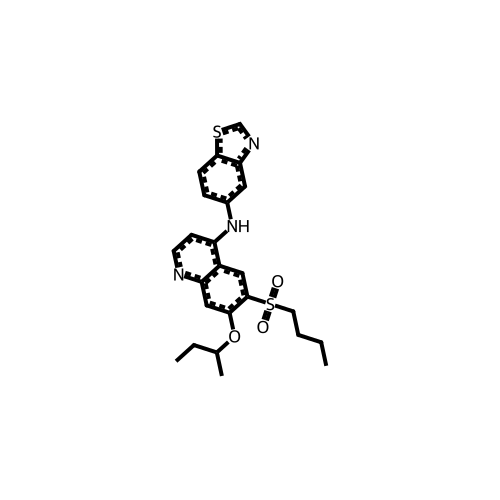 CCCCS(=O)(=O)c1cc2c(Nc3ccc4scnc4c3)ccnc2cc1OC(C)CC